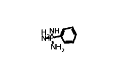 N[PH](N)(N)c1ccccc1